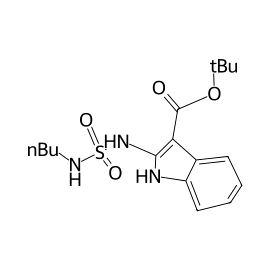 CCCCNS(=O)(=O)Nc1[nH]c2ccccc2c1C(=O)OC(C)(C)C